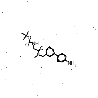 CN(Cc1cccc(-c2ccc(N)cc2)c1)C(=O)CNC(=O)OC(C)(C)C